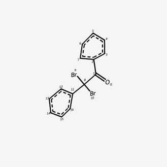 O=C(c1ccccc1)C(Br)(Br)c1[c]cccc1